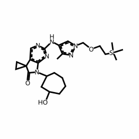 Cc1nn(COCC[Si](C)(C)C)cc1Nc1ncc2c(n1)N(C1CCCCC(O)C1)C(=O)C21CC1